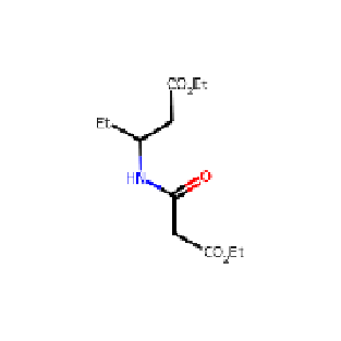 CCOC(=O)CC(=O)NC(CC)CC(=O)OCC